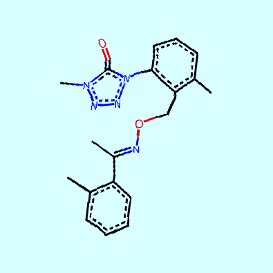 CC(=NOCc1c(C)cccc1-n1nnn(C)c1=O)c1ccccc1C